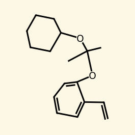 C=Cc1ccccc1OC(C)(C)OC1CCCCC1